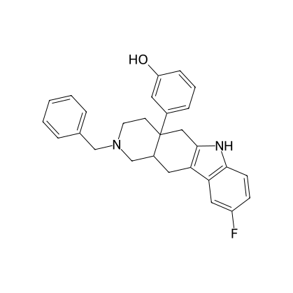 Oc1cccc(C23CCN(Cc4ccccc4)CC2Cc2c([nH]c4ccc(F)cc24)C3)c1